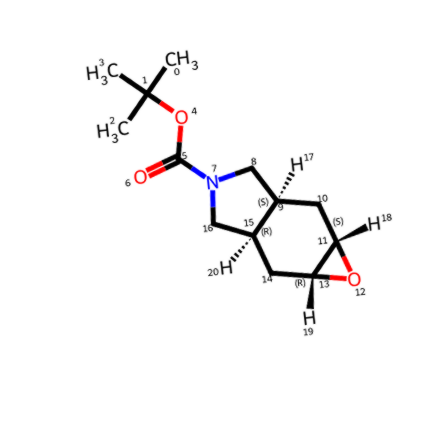 CC(C)(C)OC(=O)N1C[C@H]2C[C@@H]3O[C@@H]3C[C@H]2C1